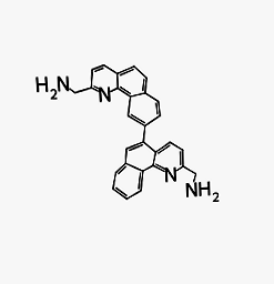 NCc1ccc2ccc3ccc(-c4cc5ccccc5c5nc(CN)ccc45)cc3c2n1